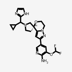 Nc1ncc(-c2cc3n(n2)CCO[C@@]32CCN(C(c3ncc[nH]3)C3CC3)C2)cc1OC(F)F